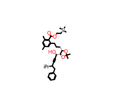 Cc1cc(C)c(C(=O)OCC[Si](C)(C)C)c(CCC[C@@H]2OC(C)(C)O[C@@H]2C(O)C#CC(Cc2ccccc2)C(C)C)c1